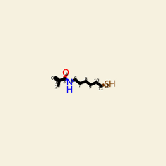 C=C(C)C(=O)NCCCCCCS